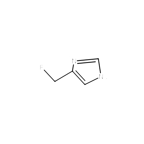 FCC1=C[N][C]=N1